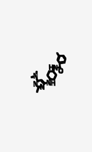 Cc1cccc(C(=O)NC2CCC(Nc3cc(N(C)C)nc(C)n3)CC2)c1